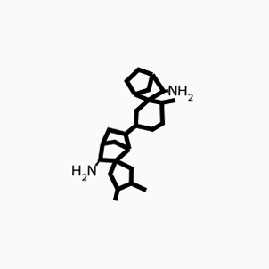 CC1CC2(CC1C)C1CC(CC1C1CCC(C)C3(C1)C1CCC(C1)[C@H]3N)[C@H]2N